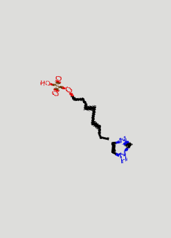 CCCCCCCCOS(=O)(=O)O.c1c[nH]cn1